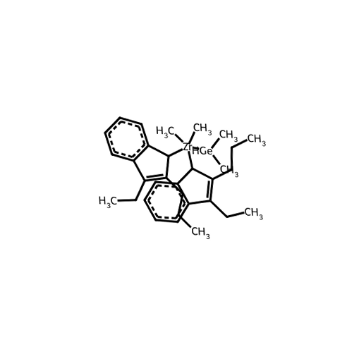 CCCC1=C(CC)c2ccccc2[CH]1[Zr]([CH3])([CH3])([CH]1C(CCC)=C(CC)c2ccccc21)[GeH]([CH3])[CH3]